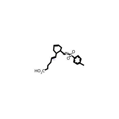 Cc1ccc(S(=O)(=O)NCC2CC=CCC2/C=C/CCCC(=O)O)cc1